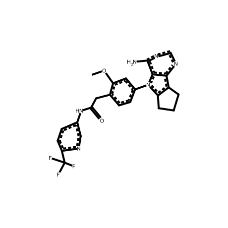 COc1cc(-n2c3c(c4ncnc(N)c42)CCC3)ccc1CC(=O)Nc1ccc(C(F)(F)F)nc1